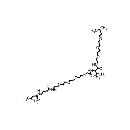 CC(C)CCOCCOCCOCCNC(=O)C(NC(=O)COCCOCCOCCOCCNC(=O)CCCNC(=O)CC(C)C)C(C)C